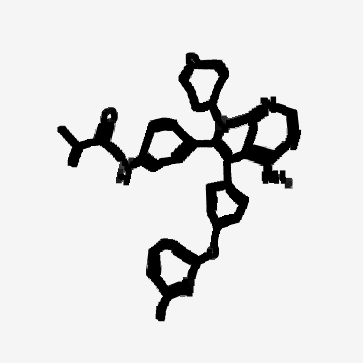 C=C(C)C(=O)Nc1ccc(-c2c(-c3ccc(Oc4cccc(C)n4)cc3)c3c(N)ncnc3n2C2CCOCC2)cc1